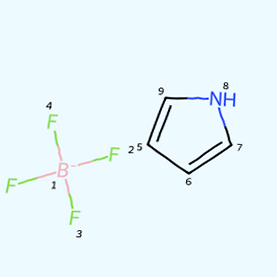 F[B-](F)(F)F.c1cc[nH]c1